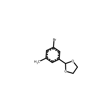 Cc1cc(Br)cc(C2OCCO2)c1